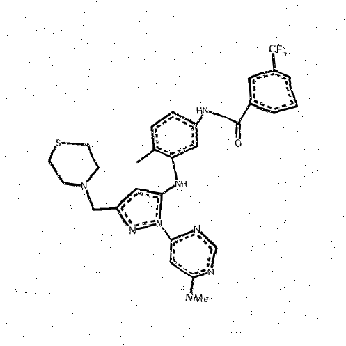 CNc1cc(-n2nc(CN3CCSCC3)cc2Nc2cc(NC(=O)c3cccc(C(F)(F)F)c3)ccc2C)ncn1